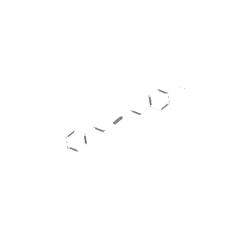 CCCc1ccc(C=CC#CC=Cc2ccc(OCC)cc2)cc1